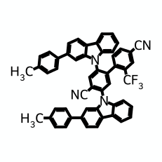 Cc1ccc(-c2ccc3c4ccccc4n(-c4cc(-c5ccc(C#N)cc5C(F)(F)F)c(-n5c6ccccc6c6ccc(-c7ccc(C)cc7)cc65)cc4C#N)c3c2)cc1